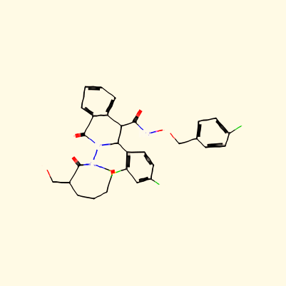 O=C(NOCc1ccc(Cl)cc1)C1c2ccccc2C(=O)N(N2CCCCC(CO)C2=O)C1c1ccc(Cl)cc1Cl